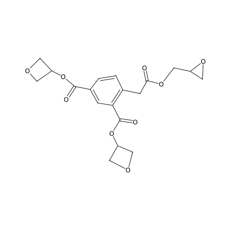 O=C(Cc1ccc(C(=O)OC2COC2)cc1C(=O)OC1COC1)OCC1CO1